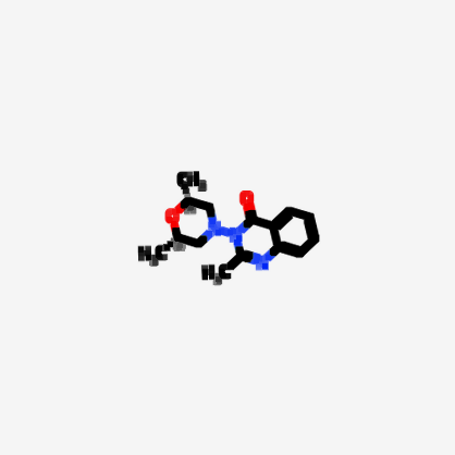 Cc1nc2ccccc2c(=O)n1N1C[C@@H](C)O[C@@H](C)C1